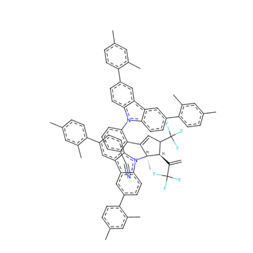 C=C([C@@H]1C(C(F)(F)F)C=C(c2c(C#N)cccc2-n2c3ccc(-c4ccc(C)cc4C)cc3c3cc(-c4ccc(C)cc4C)ccc32)[C@]1(C)n1c2ccc(-c3ccc(C)cc3C)cc2c2cc(-c3ccc(C)cc3C)ccc21)C(F)(F)F